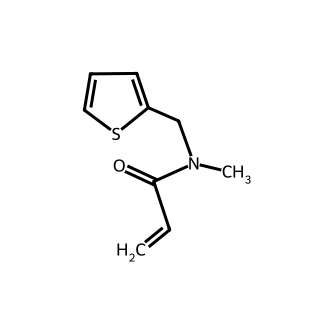 C=CC(=O)N(C)Cc1cccs1